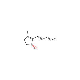 CC=CC=CC1=C(C)CCC1=O